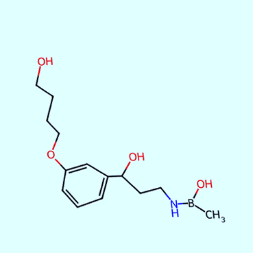 CB(O)NCCC(O)c1cccc(OCCCCO)c1